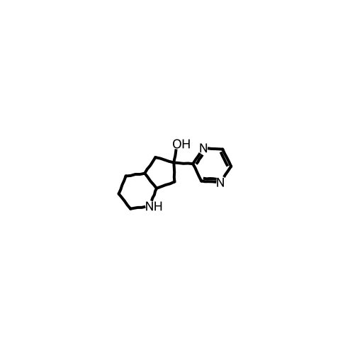 OC1(c2cnccn2)CC2CCCNC2C1